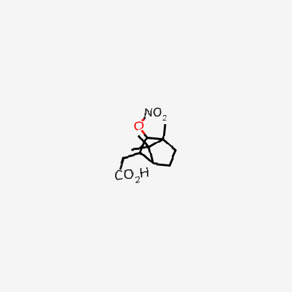 CC1(C)C2CCC1(C)C(O[N+](=O)[O-])C2CC(=O)O